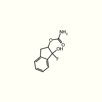 NC(=O)OC1Cc2ccccc2C1(O)F